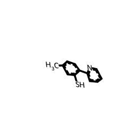 Cc1ccc(-c2ccccn2)c(S)c1